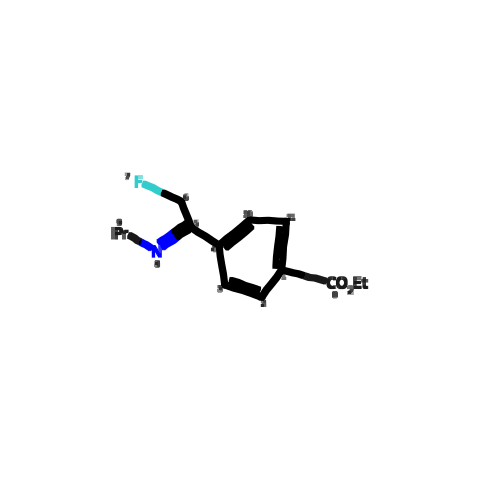 CCOC(=O)c1ccc(C(CF)=NC(C)C)cc1